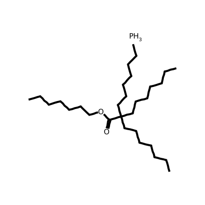 CCCCCCCOC(=O)C(CCCCCCC)(CCCCCCC)CCCCCCC.P